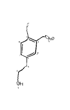 O=Cc1cc(CCO)ccc1F